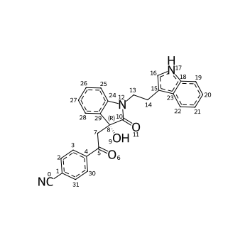 N#Cc1ccc(C(=O)C[C@]2(O)C(=O)N(CCc3c[nH]c4ccccc34)c3ccccc32)cc1